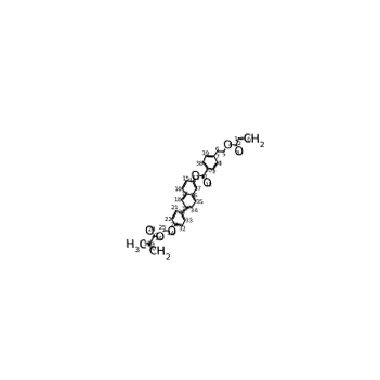 C=CC(=O)OCCc1ccc(C(=O)Oc2ccc3cc(-c4ccc(OCOC(=O)C(=C)C)cc4)ccc3c2)cc1